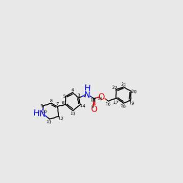 O=C(Nc1ccc(C2=CCNCC2)cc1)OCc1ccccc1